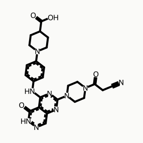 N#CCC(=O)N1CCN(c2nc(Nc3ccc(N4CCC(C(=O)O)CC4)cc3)c3c(=O)[nH]ncc3n2)CC1